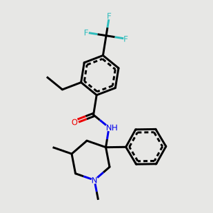 CCc1cc(C(F)(F)F)ccc1C(=O)NC1(c2ccccc2)CC(C)CN(C)C1